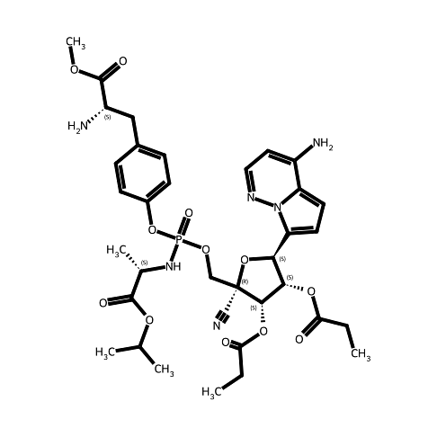 CCC(=O)O[C@H]1[C@H](c2ccc3c(N)ccnn23)O[C@](C#N)(COP(=O)(N[C@@H](C)C(=O)OC(C)C)Oc2ccc(C[C@H](N)C(=O)OC)cc2)[C@H]1OC(=O)CC